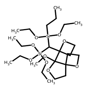 CCC[Si](OCC)(OCC)C(C1(C2(OC)OCCC23CCO3)CCO1)[Si](OCC)(OCC)OCC